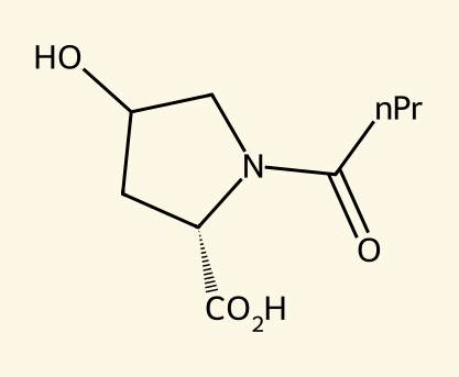 CCCC(=O)N1CC(O)C[C@H]1C(=O)O